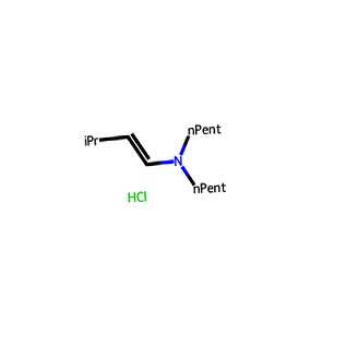 CCCCCN(/C=C/C(C)C)CCCCC.Cl